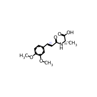 COc1ccc(/C=C/C(=O)N[C@@H](C)C(=O)O)cc1OC